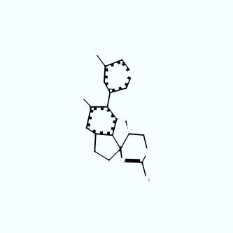 NC1=NC2(CCc3cc(F)c(-c4cncc(Cl)c4)cc32)[C@@H](F)CO1